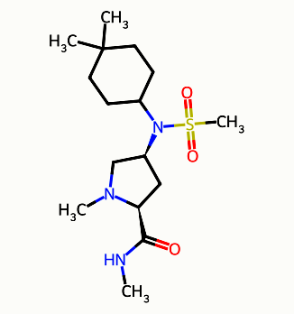 CNC(=O)[C@@H]1C[C@H](N(C2CCC(C)(C)CC2)S(C)(=O)=O)CN1C